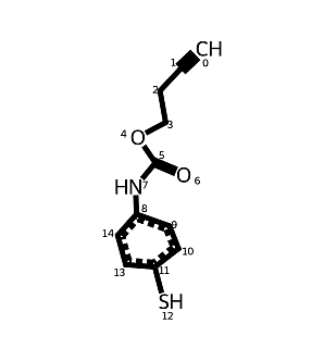 C#CCCOC(=O)Nc1ccc(S)cc1